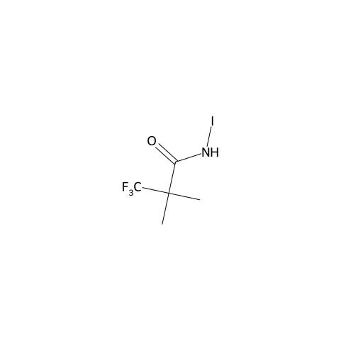 CC(C)(C(=O)NI)C(F)(F)F